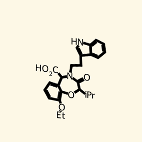 CCOc1cccc2c1OC(C(C)C)C(=O)N(CCc1c[nH]c3ccccc13)C2C(=O)O